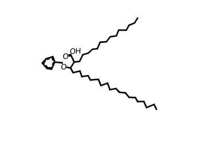 CCCCCCCCCCCCCCCCCCCC(OCc1ccccc1)C(CCCCCCCCCCCCCC)C(=O)O